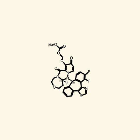 COC(=O)OCOc1c2n(ccc1=O)N([C@@H]1c3ccccc3-c3scnc3-c3c1ccc(F)c3F)[C@@H]1CCOCCN1C2=O